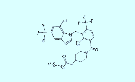 COC(=O)CC1CCN(C(=O)c2ccc(C(F)(F)F)c(Cn3ccc4cc(C(F)(F)F)cc(Cl)c43)c2Cl)CC1